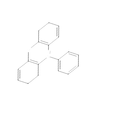 C1=CC2=C(CC1)OC1=C(CCC=C1)[SH]2c1ccccc1